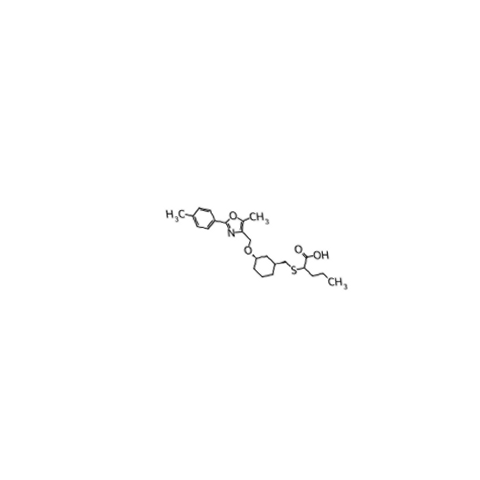 CCCC(SC[C@H]1CCC[C@@H](OCc2nc(-c3ccc(C)cc3)oc2C)C1)C(=O)O